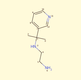 CC(C)(NCCN)c1cccnc1